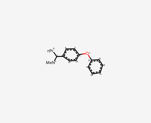 CCCC(NC)c1ccc(Oc2ccccc2)cc1